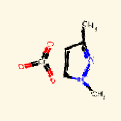 Cc1ccn(C)n1.[O]=[Cr](=[O])=[O]